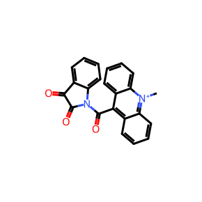 C[n+]1c2ccccc2c(C(=O)N2C(=O)C(=O)c3ccccc32)c2ccccc21